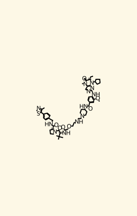 CC[C@@H]1C(=O)N(C)c2cnc(Nc3ccc(C(=O)NC4CCN(CCNCCOCC(=O)N[C@H](C(=O)N5CCC[C@H]5C(=O)NCc5ccc(-c6scnc6C)cc5)C(C)(C)C)CC4)cc3OC)nc2N1C1CCCC1